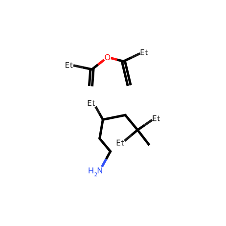 C=C(CC)OC(=C)CC.CCC(CCN)CC(C)(CC)CC